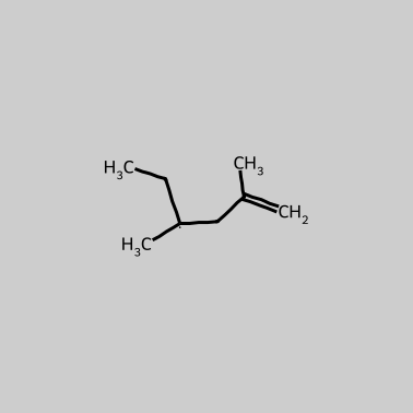 C=C(C)C[C](C)CC